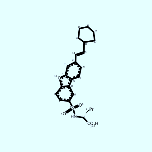 CC(C)[C@@H](NS(=O)(=O)c1ccc2oc3cc(C=CC4CCCCC4)ccc3c2c1)C(=O)O